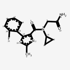 Cc1nc(C(=O)N(CC(N)=O)C2CC2)c(-c2ccccc2F)s1